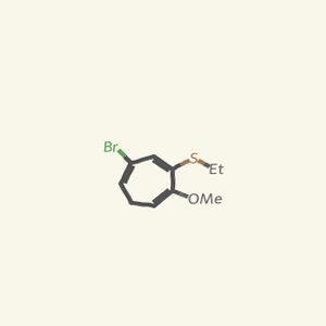 CCSC1=CC(Br)=CCC=C1OC